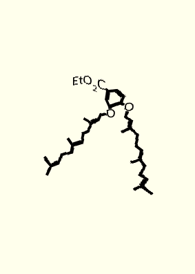 CCOC(=O)c1ccc(OC/C=C(\C)CC/C=C(\C)CCC=C(C)C)c(OC/C=C(\C)CC/C=C(\C)CCC=C(C)C)c1